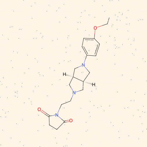 CCOc1ccc(N2C[C@H]3CN(CCN4C(=O)CCC4=O)C[C@H]3C2)cc1